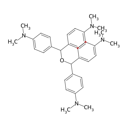 CN(C)c1ccc(C(OC(c2ccc(N(C)C)cc2)c2ccc(N(C)C)cc2)c2ccc(N(C)C)cc2)cc1